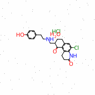 Cl.O.O=C1CCc2c(c(Cl)cc3c2C(=O)C(CNCCc2ccc(O)cc2)CC3)N1